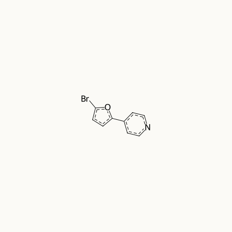 Brc1ccc(-c2ccncc2)o1